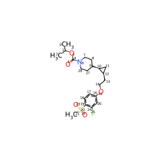 CC(C)OC(=O)N1CCC([C@H]2C[C@H]2CCOc2ccc(S(C)(=O)=O)c(F)c2)CC1